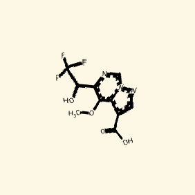 COc1c(C(O)C(F)(F)F)ncn2ncc(C(=O)O)c12